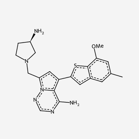 COc1cc(C)cc2cc(-c3cc(CN4CC[C@@H](N)C4)n4ncnc(N)c34)sc12